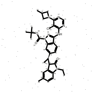 CCN1C(=O)[C@@]2(C[C@H]2c2ccc3c(Nc4ncnc(N5CC(C)C5)c4Cl)nn(C(=O)OC(C)(C)C)c3c2)c2cc(C)ccc21